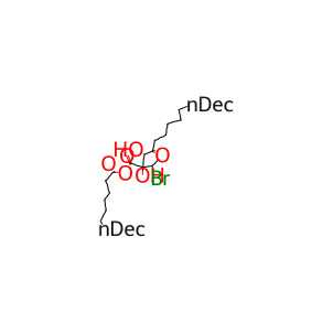 CCCCCCCCCCCCCCCC(=O)OC(=O)C(O)(C(C)Br)C(O)C(=O)CCCCCCCCCCCCCCC